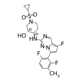 Cc1ccc(F)c(-c2cc(F)c3cnc(N[C@@H]4CCN(S(=O)(=O)C5CC5)C[C@H]4O)nn23)c1F